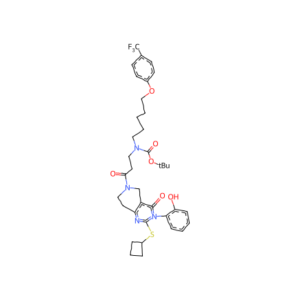 CC(C)(C)OC(=O)N(CCCCCOc1ccc(C(F)(F)F)cc1)CCC(=O)N1CCc2nc(SC3CCC3)n(-c3ccccc3O)c(=O)c2C1